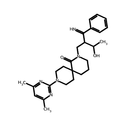 Cc1cc(C)nc(N2CCC3(CCCN(CC(C(=N)c4ccccc4)C(C)O)C3=O)CC2)n1